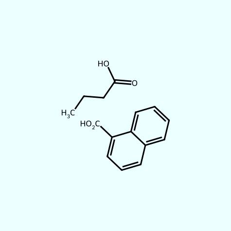 CCCC(=O)O.O=C(O)c1cccc2ccccc12